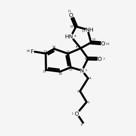 COCCCN1C(=O)C2(NC(=O)NC2=O)c2cc(F)ccc21